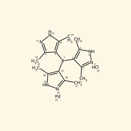 Cc1n[nH]c(C)c1B(c1c(C)n[nH]c1C)c1c(C)n[nH]c1C.Cl.[Pd]